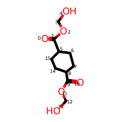 O=C(OCO)C1CCC(C(=O)OCO)CC1